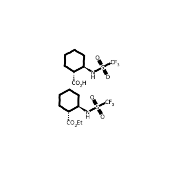 CCOC(=O)[C@@H]1CCCC[C@H]1NS(=O)(=O)C(F)(F)F.O=C(O)[C@@H]1CCCC[C@H]1NS(=O)(=O)C(F)(F)F